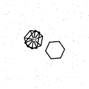 C1CCCCC1.[CH]12[CH]3[CH]4[CH]5[CH]1[Fe]23451678[CH]2[CH]1[CH]6[CH]7[CH]28